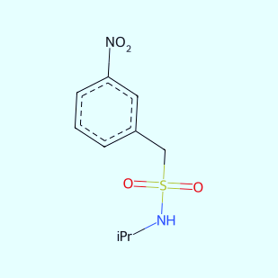 CC(C)NS(=O)(=O)Cc1cccc([N+](=O)[O-])c1